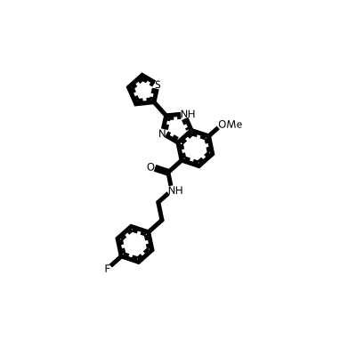 COc1ccc(C(=O)NCCc2ccc(F)cc2)c2nc(-c3cccs3)[nH]c12